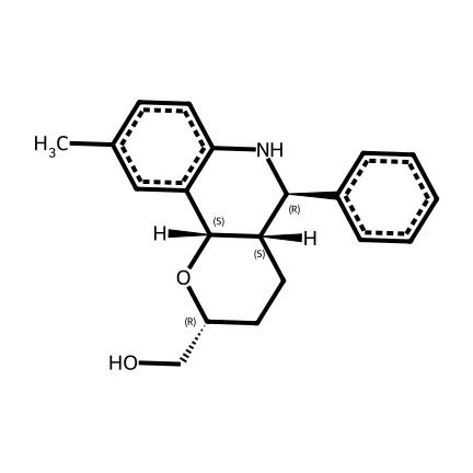 Cc1ccc2c(c1)[C@H]1O[C@@H](CO)CC[C@H]1[C@H](c1ccccc1)N2